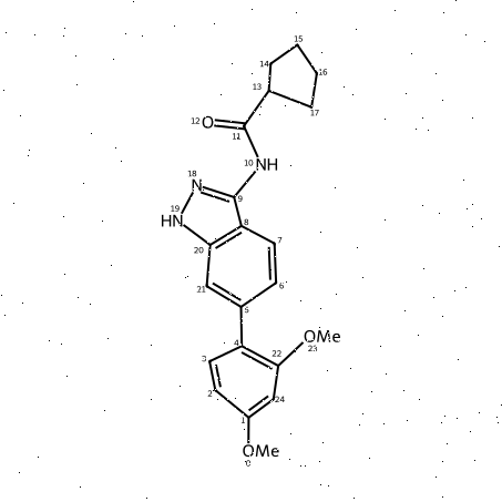 COc1ccc(-c2ccc3c(NC(=O)C4CCCC4)n[nH]c3c2)c(OC)c1